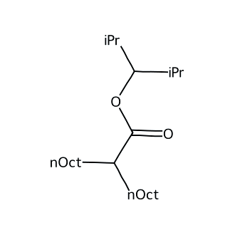 CCCCCCCCC(CCCCCCCC)C(=O)OC(C(C)C)C(C)C